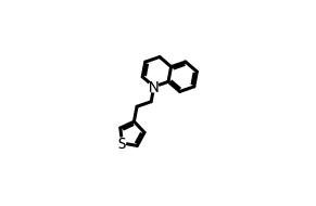 C1=CN(CCc2ccsc2)c2ccccc2C1